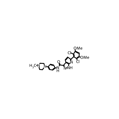 COc1cc(OC)c(Cl)c(-c2ccc3c(C(=O)Nc4ccc(N5CCN(C)CC5)cc4)n[nH]c3n2)c1Cl